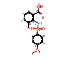 COc1ccc(S(=O)(=O)Nc2c(C)cccc2C(=O)O)cc1